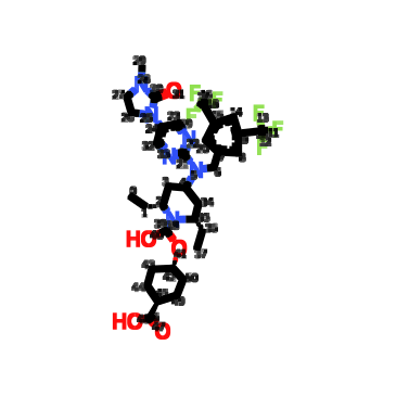 CC[C@@H]1CC(N(Cc2cc(C(F)(F)F)cc(C(F)(F)F)c2)c2ncc(N3CCN(C)C3=O)cn2)C[C@H](CC)N1C(O)O[C@H]1CC[C@H](C(=O)O)CC1